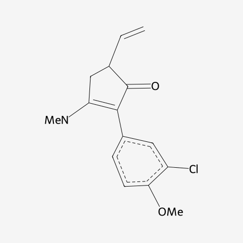 C=CC1CC(NC)=C(c2ccc(OC)c(Cl)c2)C1=O